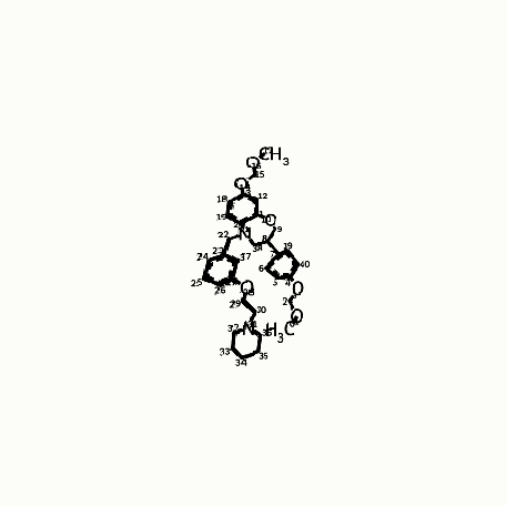 COCOc1ccc(C2COc3cc(OCOC)ccc3N(Cc3cccc(OCCN4CCCCC4)c3)C2)cc1